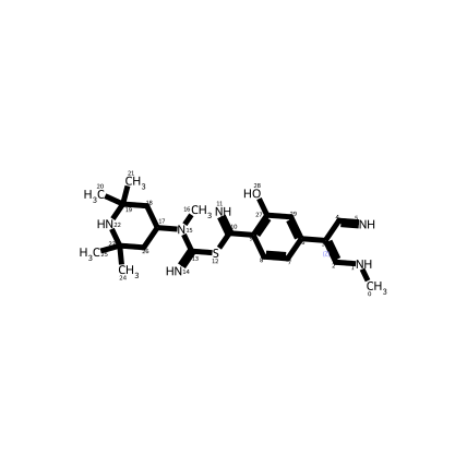 CN/C=C(\C=N)c1ccc(C(=N)SC(=N)N(C)C2CC(C)(C)NC(C)(C)C2)c(O)c1